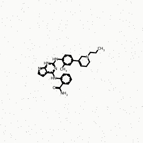 CCCN1CCC=C(c2ccc(Nc3nc(Nc4ccccc4C(N)=O)c4ccnc-4[nH]3)c(C)c2)C1